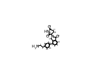 NCCc1ccc(-c2cccc3c2CN(C2CCC(=O)NC2=O)C3=O)cc1